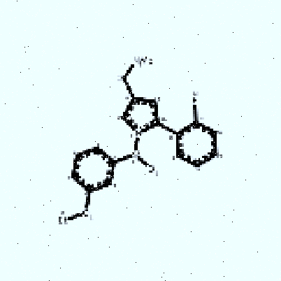 CCOc1cccc([S+]([O-])n2cc(CNC)cc2-c2ccccc2F)c1